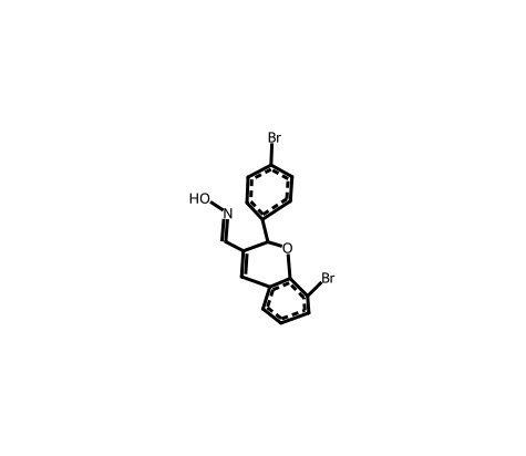 ON=CC1=Cc2cccc(Br)c2OC1c1ccc(Br)cc1